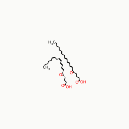 CCCCC/C=C/C/C=C/C=C/C=C/C1OC1CCCC(=O)O.CCCCC/C=C\C\C=C/C=C/C=C/[C@@H]1O[C@H]1CCCC(=O)O